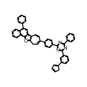 C1=CCC(c2cccc(-c3nc(-c4ccccc4)nc(-c4ccc(C5=CCc6oc7c(cc(-c8ccccc8)c8ccccc87)c6C=C5)cc4)n3)c2)=C1